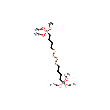 CCCO[Si](CCCCSSSSCCCC[Si](OCCC)(OCCC)OCCC)(OCCC)OCCC